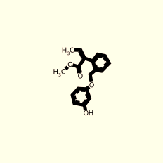 CC=C(C(=O)OC)c1ccccc1COc1cccc(O)c1